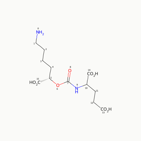 NCCCC[C@H](OC(=O)NC(CCC(=O)O)C(=O)O)C(=O)O